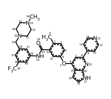 Cc1ccc(Oc2cc(-c3ccncc3)nc3[nH]ccc23)cc1C(=O)Nc1cc(CN2CCN(C)CC2)cc(C(F)(F)F)c1